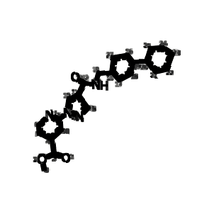 COC(=O)c1ccnc(-n2cc(C(=O)NCc3ccc(-c4ccccc4)cc3)cn2)c1